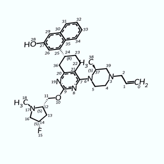 C=CCN1CCN(c2nc(OC[C@@H]3C[C@H](F)CN3C)nc3c2CC[C@@H](c2cc(O)cc4ccccc24)C3)[C@@H](C)C1